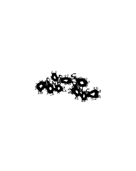 c1cc2c3c(c1)-n1c4c(cccc4c4ccc5c6ccccc6sc5c41)B3c1cc3c(cc1S2)Sc1cccc2c1B3c1cccc3c4ccc5c6ccccc6sc5c4n-2c13